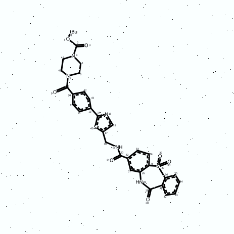 CC(C)(C)OC(=O)N1CCN(C(=O)c2ccc(-c3ncc(CNC(=O)c4ccc5c(c4)NC(=O)c4ccccc4S5(=O)=O)s3)cc2)CC1